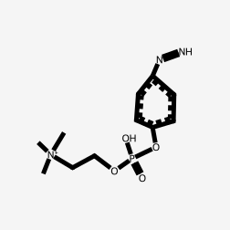 C[N+](C)(C)CCOP(=O)(O)Oc1ccc(N=N)cc1